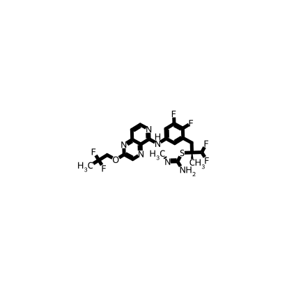 C/N=C(/N)S[C@](C)(Cc1cc(Nc2nccc3nc(OCC(C)(F)F)cnc23)cc(F)c1F)C(F)F